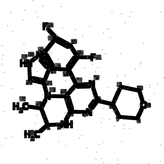 CC1Nc2nc(C3CCOCC3)nc(-c3ccc(F)cc3F)c2N(c2cn[nH]c2)C1C